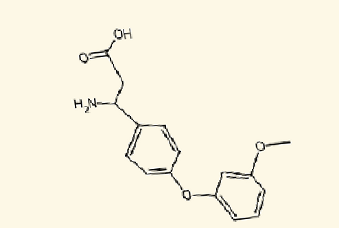 COc1cccc(Oc2ccc(C(N)CC(=O)O)cc2)c1